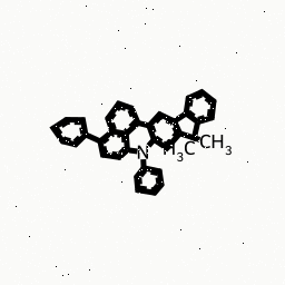 CC1(C)c2ccccc2-c2cc3c(cc21)N(c1ccccc1)c1ccc(-c2ccccc2)c2cccc-3c12